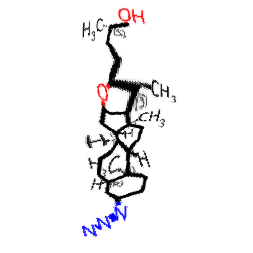 C[C@H](CO)CCC1OC2C[C@H]3[C@@H]4CC[C@@H]5CC(N=[N+]=[N-])CC[C@]5(C)[C@H]4CC[C@]3(C)C2[C@@H]1C